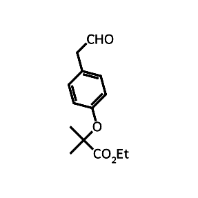 CCOC(=O)C(C)(C)Oc1ccc(CC=O)cc1